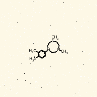 Cc1cc(N2CCN(C)CCN(C)CC2)ccc1N